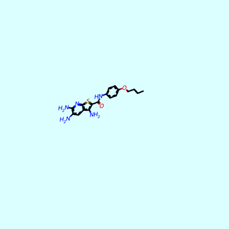 CCCCOc1ccc(NC(=O)c2sc3nc(N)c(N)cc3c2N)cc1